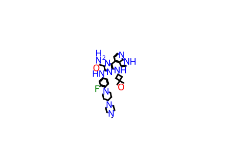 CN1CCN(C2CCN(c3ccc(Nc4nc(NC5CC6(COC6)C5)c(-c5ccnc6[nH]ccc56)nc4C(N)=O)cc3F)CC2)CC1